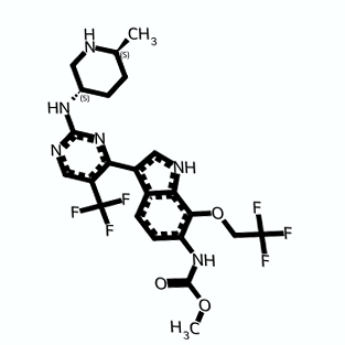 COC(=O)Nc1ccc2c(-c3nc(N[C@H]4CC[C@H](C)NC4)ncc3C(F)(F)F)c[nH]c2c1OCC(F)(F)F